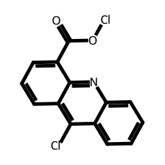 O=C(OCl)c1cccc2c(Cl)c3ccccc3nc12